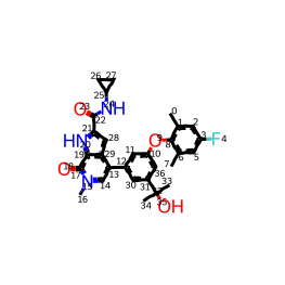 Cc1cc(F)cc(C)c1Oc1cc(-c2cn(C)c(=O)c3[nH]c(C(=O)NC4CC4)cc23)cc(C(C)(C)O)c1